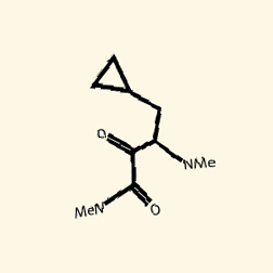 CNC(=O)C(=O)C(CC1CC1)NC